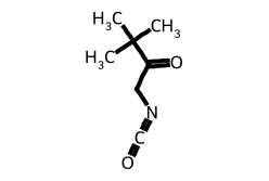 CC(C)(C)C(=O)CN=C=O